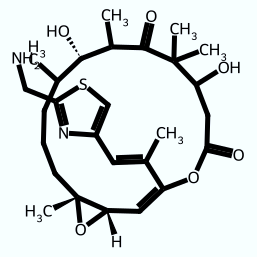 CC(=C\c1csc(CN)n1)/C1=C\[C@@H]2O[C@]2(C)CCCC(C)[C@H](O)C(C)C(=O)C(C)(C)C(O)CC(=O)O1